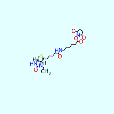 CCN1C(=O)N[C@H]2CS[C@@H](CCCCC(=O)NCCCCCC(=O)ON3C(=O)CCC3=O)[C@H]21